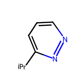 [CH2]C(C)c1cccnn1